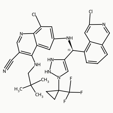 CC(C)(C)CNc1c(C#N)cnc2c(Cl)cc(N[C@H](C3=CN(C4(C(F)(F)F)CC4)NN3)c3cccc4cnc(Cl)cc34)cc12